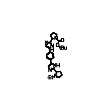 C[CH]N1CCCC1c1ncc(-c2ccc(-c3cnc(C4CCCN4C(=O)OC(C)(C)C)[nH]3)cc2)[nH]1